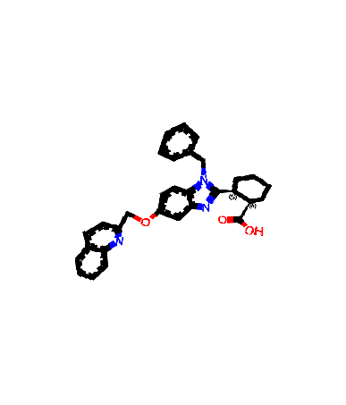 O=C(O)[C@@H]1CCCC[C@@H]1c1nc2cc(OCc3ccc4ccccc4n3)ccc2n1Cc1ccccc1